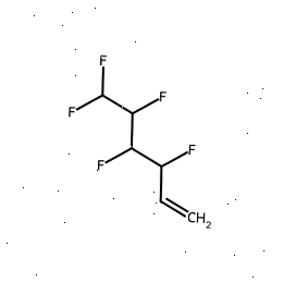 C=CC(F)C(F)C(F)C(F)F